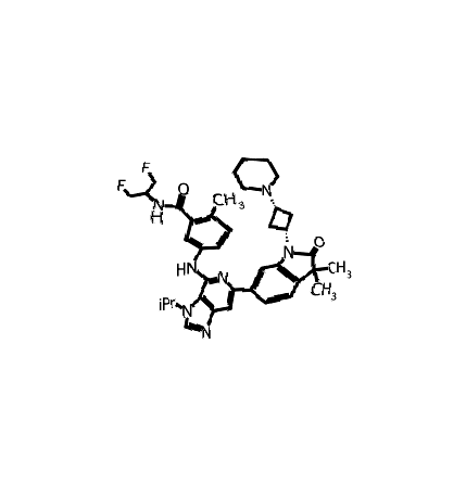 Cc1ccc(Nc2nc(-c3ccc4c(c3)N([C@H]3C[C@@H](N5CCCCC5)C3)C(=O)C4(C)C)cc3ncn(C(C)C)c23)cc1C(=O)NC(CF)CF